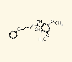 COc1cc(OC)cc(C(C)(C)C=CCCOc2ccccc2)c1